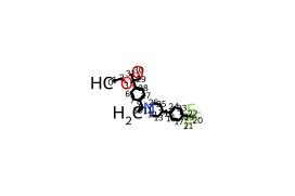 C#CCOC1(c2ccc(C(=C)N3CCC(c4ccc(C(F)(F)F)cc4)CC3)cc2)COC1